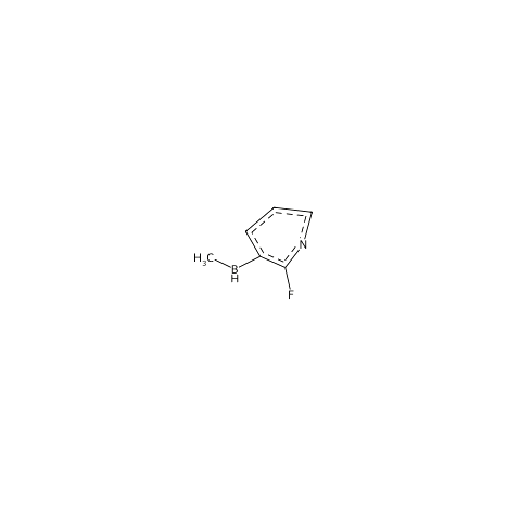 CBc1cccnc1F